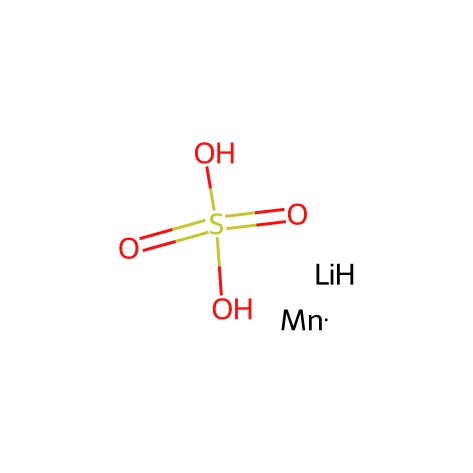 O=S(=O)(O)O.[LiH].[Mn]